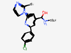 CC(C)(C)NC(O)c1cc(-c2ccc(Cl)cc2)nc(-n2ccnc2C(C)(C)C)c1